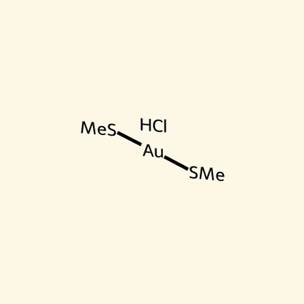 C[S][Au][S]C.Cl